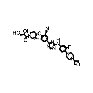 N#Cc1cc(-c2ncnc(Nc3ccc(N4CCN(C5COC5)CC4)c(F)c3)n2)ccc1O[C@H]1CCN(C(=O)C(O)CO)C[C@H]1F